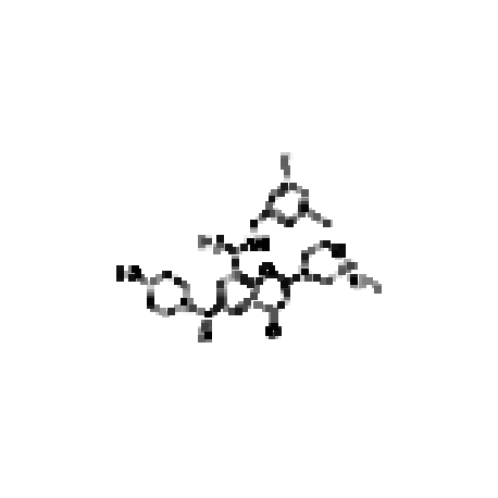 CC(NCc1cc(F)cc(F)c1)c1cc(C(=O)N2CCC(O)CC2)cc2c(=O)cc(N3CCO[C@H](C)C3)oc12